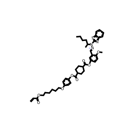 C=CC(=O)OCCCCCCOc1ccc(OC(=O)C2CCC(C(=O)Oc3ccc(OC)c(/C=N/N(c4nc5ccccc5s4)C(C)CCCC)c3)CC2)cc1